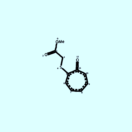 COC(=O)CSc1cccccc1=O